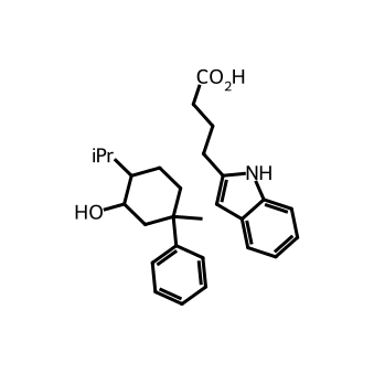 CC(C)C1CCC(C)(c2ccccc2)CC1O.O=C(O)CCCc1cc2ccccc2[nH]1